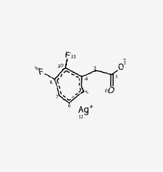 O=C([O-])Cc1cccc(F)c1F.[Ag+]